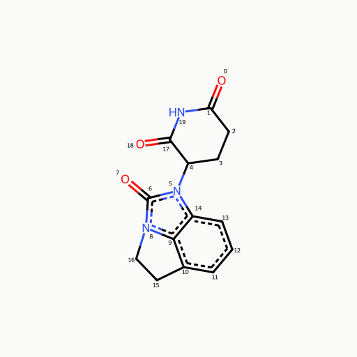 O=C1CCC(n2c(=O)n3c4c(cccc42)CC3)C(=O)N1